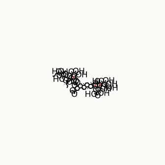 CC[C@H](C)C(=O)OC1C(O)C(C)OC(C[C@H](OC2OC(CO)C(O)C(O)C2O)C(OC(=O)[C@@H](C)CC)C(C)O[C@H](C)OC(=O)[C@]23CC[C@](C)(C(=O)OC)CC2C2=CCC4[C@@]5(C)CC[C@H](OC6OC(C(=O)O)C(O)C(O)C6OC6OC(CO)C(O)C(O)C6O)[C@@](C)(COC(C)=O)C5CC[C@@]4(C)[C@]2(C)CC3)C1O